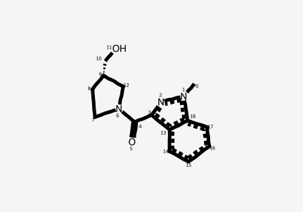 Cn1nc(C(=O)N2CC[C@H](CO)C2)c2ccccc21